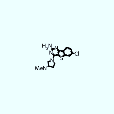 CN[C@H]1CCN(c2nc(N)nc3c2sc2cc(Cl)ccc23)C1